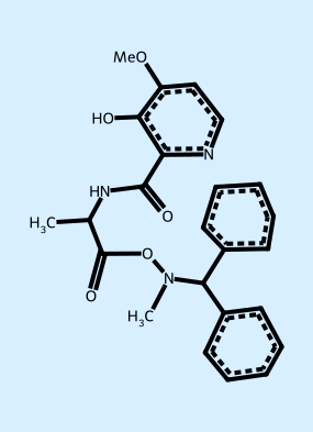 COc1ccnc(C(=O)NC(C)C(=O)ON(C)C(c2ccccc2)c2ccccc2)c1O